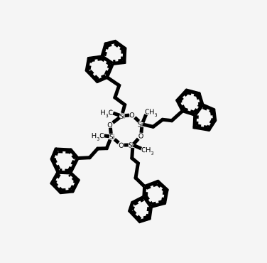 C[Si]1(CCCc2cccc3ccccc23)O[Si](C)(CCCc2cccc3ccccc23)O[Si](C)(CCCc2cccc3ccccc23)O[Si](C)(CCCc2cccc3ccccc23)O1